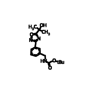 CC(C)(C)OC(=O)NCc1cccc(-c2noc(C(C)(C)O)n2)c1